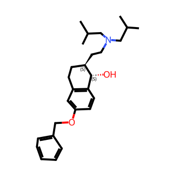 CC(C)CN(CC[C@@H]1CCc2cc(OCc3ccccc3)ccc2[C@H]1O)CC(C)C